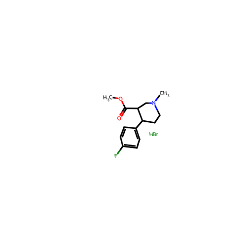 Br.COC(=O)C1CN(C)CCC1c1ccc(F)cc1